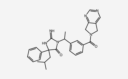 CC(C)CC1(c2ccccc2)NC(=N)N(C(C)c2cccc(C(=O)N3Cc4cncnc4C3)c2)C1=O